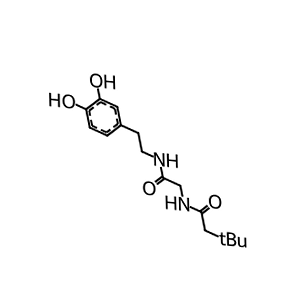 CC(C)(C)CC(=O)NCC(=O)NCCc1ccc(O)c(O)c1